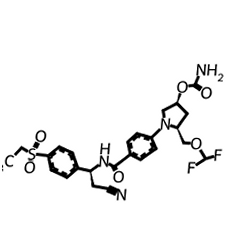 CCS(=O)(=O)c1ccc([C@H](CC#N)NC(=O)c2ccc(N3C[C@@H](OC(N)=O)C[C@H]3COC(F)F)cc2)cc1